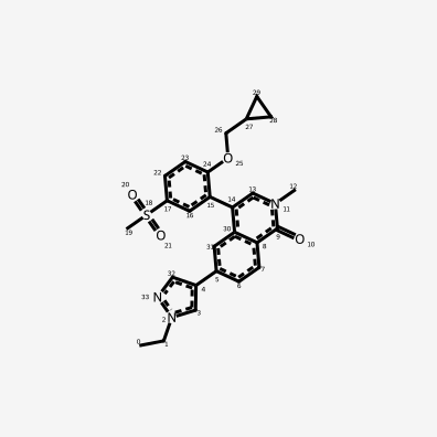 CCn1cc(-c2ccc3c(=O)n(C)cc(-c4cc(S(C)(=O)=O)ccc4OCC4CC4)c3c2)cn1